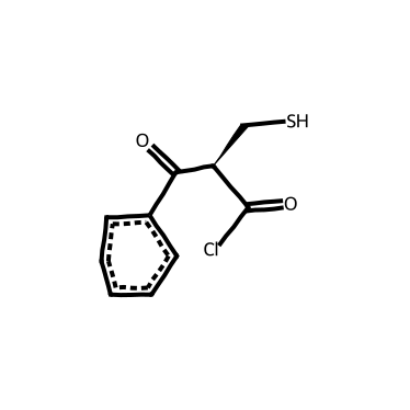 O=C(Cl)[C@H](CS)C(=O)c1ccccc1